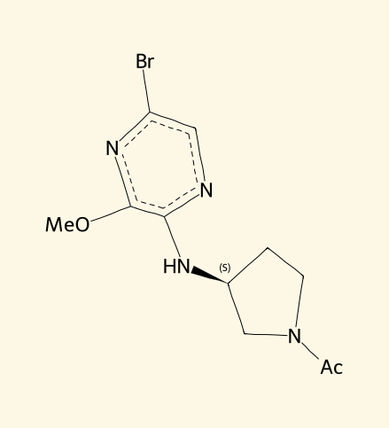 COc1nc(Br)cnc1N[C@H]1CCN(C(C)=O)C1